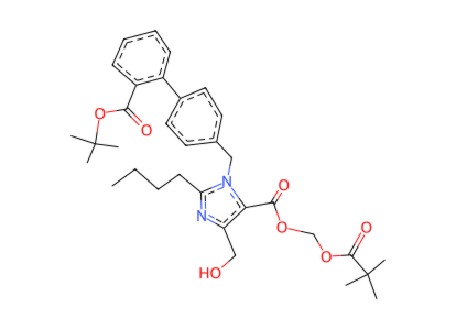 CCCCc1nc(CO)c(C(=O)OCOC(=O)C(C)(C)C)n1Cc1ccc(-c2ccccc2C(=O)OC(C)(C)C)cc1